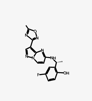 Cc1nc(-c2cnn3ccc(N[C@H](C)c4cc(F)ccc4O)nc23)no1